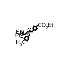 CCOC(=O)Cc1ccc(CC(=O)N(CCC(OCC)OCC)Cc2ccc(C)cc2)cc1